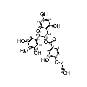 C#CCOc1ccc(C(=O)OC2Cc3c(O)cc(O)cc3OC2c2cc(O)c(O)c(O)c2)cc1O